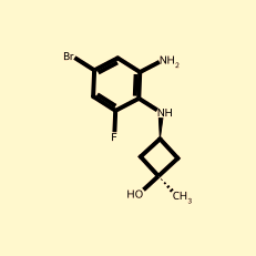 C[C@]1(O)C[C@@H](Nc2c(N)cc(Br)cc2F)C1